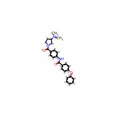 CN(C)C1CCN(C(=O)c2ccc(NC(=O)c3ccc(Oc4ccccc4)cc3)cc2)C1